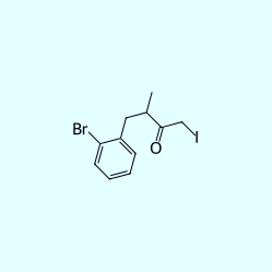 CC(Cc1ccccc1Br)C(=O)CI